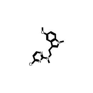 COc1ccc2c(c1)c(CCN(C)c1nccc(Cl)n1)cn2C